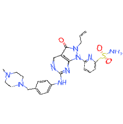 C=CCn1c(=O)c2cnc(Nc3ccc(CN4CCN(C)CC4)cc3)nc2n1-c1cccc(S(N)(=O)=O)n1